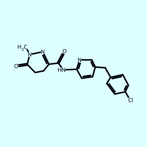 CN1N=C(C(=O)Nc2ccc(Cc3ccc(Cl)cc3)cn2)CCC1=O